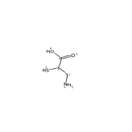 NCC(S)C(=O)O